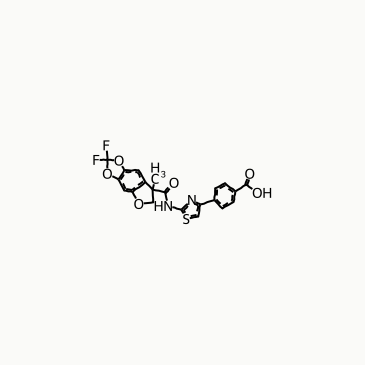 CC1(C(=O)Nc2nc(-c3ccc(C(=O)O)cc3)cs2)COc2cc3c(cc21)OC(F)(F)O3